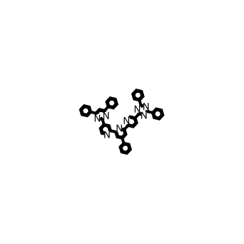 c1ccc(-c2cc(-c3ccc(-c4nc(-c5ccccc5)nc(-c5ccccc5)n4)cn3)nc(-c3cc(-c4nc(-c5ccccc5)cc(-c5ccccc5)n4)ccn3)c2)cc1